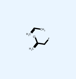 C=C(Cl)CF.C=CC